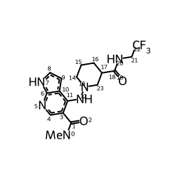 CNC(=O)c1cnc2[nH]ccc2c1NN1CCCC(C(=O)NCC(F)(F)F)C1